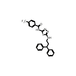 O=C(Nc1nnc(NCCC(c2ccccc2)c2ccccc2)s1)c1ccc(C(F)(F)F)cc1